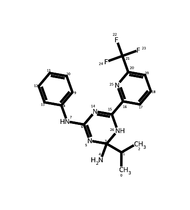 CC(C)C1(N)N=C(Nc2ccccc2)N=C(c2cccc(C(F)(F)F)n2)N1